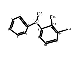 [O-][S+](c1ccccc1)c1cccc(F)c1F